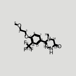 COCCOc1ccc(C2=NNC(=O)CN2C)cc1C(F)(F)F